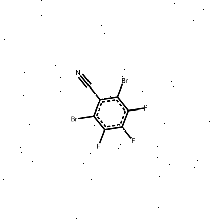 N#Cc1c(Br)c(F)c(F)c(F)c1Br